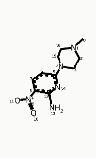 CN1CCN(c2ccc([N+](=O)[O-])c(N)n2)CC1